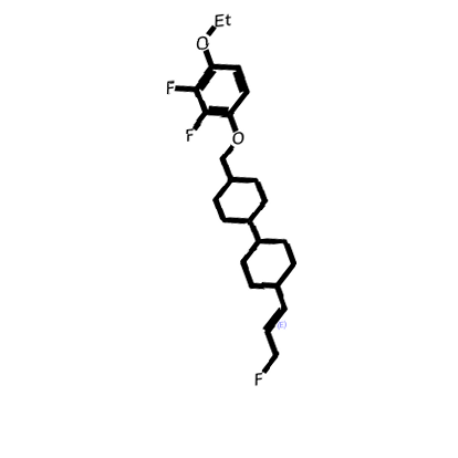 CCOc1ccc(OCC2CCC(C3CCC(/C=C/CF)CC3)CC2)c(F)c1F